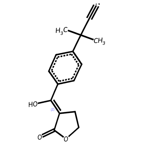 CC(C)(C#N)c1ccc(/C(O)=C2\CCOC2=O)cc1